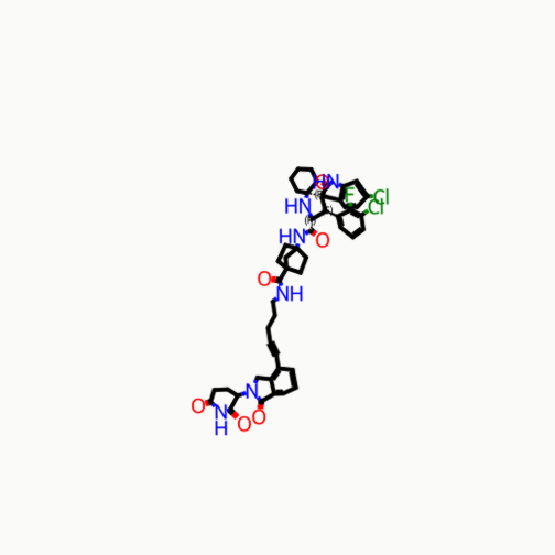 O=C1CCC(N2Cc3c(C#CCCCNC(=O)C45CCC(NC(=O)[C@@H]6NC7(CCCCC7)[C@@]7(C(=O)Nc8cc(Cl)ccc87)[C@H]6c6cccc(Cl)c6F)(CC4)C5)cccc3C2=O)C(=O)N1